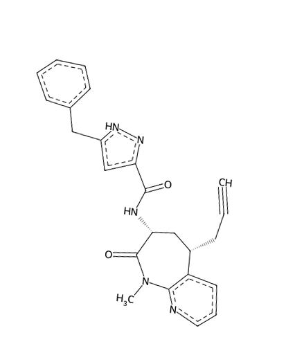 C#CC[C@H]1C[C@@H](NC(=O)c2cc(Cc3ccccc3)[nH]n2)C(=O)N(C)c2ncccc21